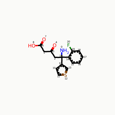 NC(CC(=O)CC(=O)O)(c1ccsc1)c1ccccc1F